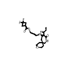 CCc1nn(CCCOC(=O)C2CC(F)(F)C2)c2c1C(=O)NCC1(CCOCC1)C2